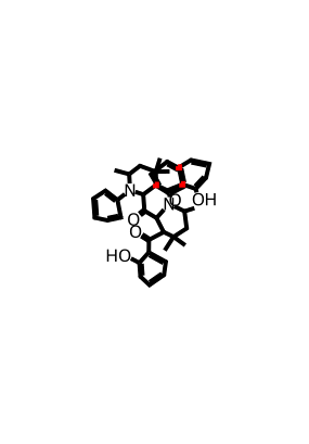 CC1CC(C)(C)C(C(=O)c2ccccc2O)C(C(=O)C2C(C(=O)c3ccccc3O)C(C)(C)CC(C)N2c2ccccc2)N1c1ccccc1